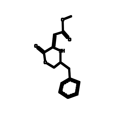 COC(=O)C=C1NC(Cc2ccccc2)COC1=O